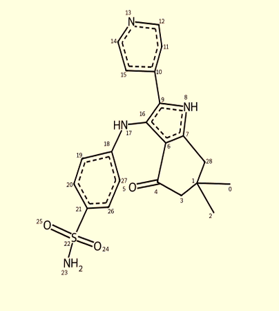 CC1(C)CC(=O)c2c([nH]c(-c3ccncc3)c2Nc2ccc(S(N)(=O)=O)cc2)C1